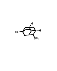 NC1C2C[C@H]3C[C@@H]1CC(O)(C2)C3